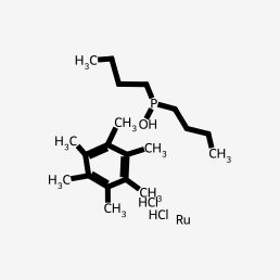 CCCCP(O)CCCC.Cc1c(C)c(C)c(C)c(C)c1C.Cl.Cl.[Ru]